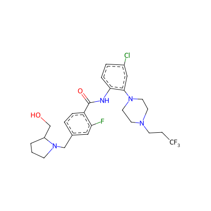 O=C(Nc1ccc(Cl)cc1N1CCN(CCC(F)(F)F)CC1)c1ccc(CN2CCCC2CO)cc1F